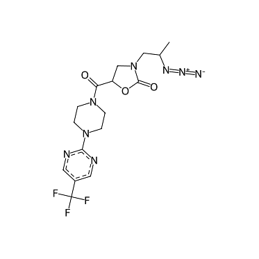 CC(CN1CC(C(=O)N2CCN(c3ncc(C(F)(F)F)cn3)CC2)OC1=O)N=[N+]=[N-]